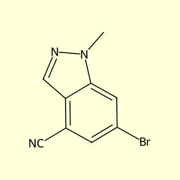 Cn1ncc2c(C#N)cc(Br)cc21